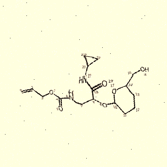 C=CCOC(=O)NCC(OC1CCCC(CO)O1)C(=O)NC1CC1